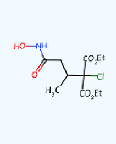 CCOC(=O)C(Cl)(C(=O)OCC)C(C)CC(=O)NO